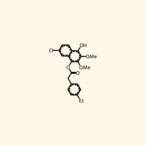 CCc1ccc(CC(=O)Oc2c(OC)c(OC)c(O)c3ccc(Cl)cc23)cc1